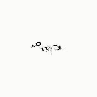 CC(C)=Cc1ccccc1Sc1cnc2[nH]c(N3CCC(C)(N)CC3)nc2n1